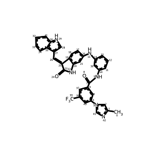 Cc1cn(-c2cc(C(=O)Nc3cccc(Nc4ccc5c(c4)NC(=O)/C5=C/c4c[nH]c5ccccc45)c3)cc(C(F)(F)F)c2)cn1